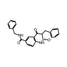 O=C(NCc1ccccc1)c1ccc2c(c1)C(=O)C(Cc1ccccc1)[S+]([O-])N2